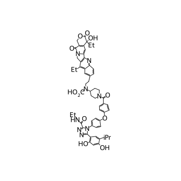 CCNC(=O)c1nnc(-c2cc(C(C)C)c(O)cc2O)n1-c1ccc(Oc2ccc(C(=O)N3CCC(N(CCc4ccc5nc6c(c(CC)c5c4)Cn4c-6cc5c(c4=O)COC(=O)C5(O)CC)C(=O)O)CC3)cc2)cc1